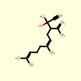 C#CC(C)(O)C(CC=C(C)CCC=C(C)C)C(=C)C